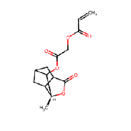 C=CC(=O)OCC(=O)OC1C2CC3C(=O)O[C@]1(C)C3C2